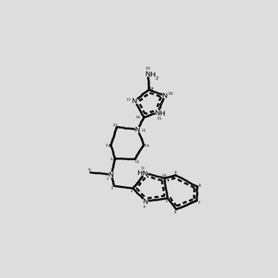 CN(Cc1nc2ccccc2[nH]1)C1CCN(c2nc(N)n[nH]2)CC1